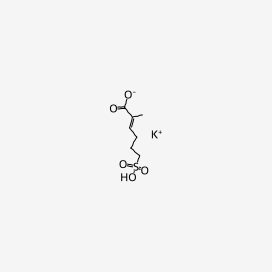 C/C(=C\CCCS(=O)(=O)O)C(=O)[O-].[K+]